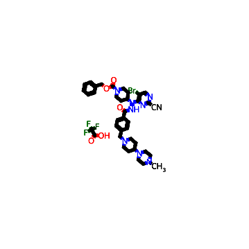 CN1CCN(C2CCN(Cc3ccc(C(=O)NN(c4nc(C#N)ncc4Br)C4CCN(C(=O)OCc5ccccc5)CC4)cc3)CC2)CC1.O=C(O)C(F)(F)F